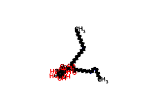 CCCCC/C=C\C/C=C\CCCCCCCC(=O)OC[C@H](COP(=O)(O)OC1C(O)C(O)C(O)[C@@H](O)C1O)OC(=O)CCCCCCCCC/C=C\CCCCCCCCCC